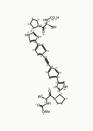 COC(=O)N[C@H](C(=O)N1CCC[C@H]1c1nc(-c2ccc(C#Cc3ccc(-c4c[nH]c([C@@H]5CCCN5C(=O)[C@@H](NC(=O)O)C(C)C)n4)cc3)cc2)c[nH]1)C(C)C